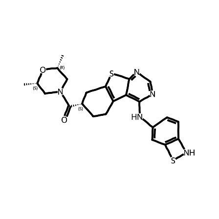 C[C@@H]1CN(C(=O)[C@H]2CCc3c(sc4ncnc(Nc5ccc6[nH]sc6c5)c34)C2)C[C@H](C)O1